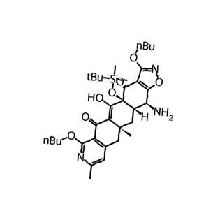 CCCCOc1nc(C)cc2c1C(=O)C1=C(O)[C@]3(O[Si](C)(C)C(C)(C)C)C(=O)c4c(OCCCC)noc4[C@@H](N)[C@@H]3C[C@]1(C)C2